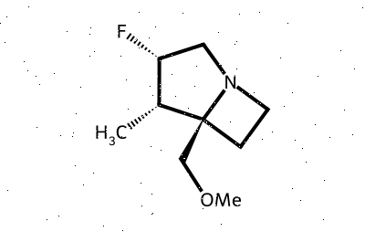 COC[C@]12CCN1C[C@@H](F)[C@H]2C